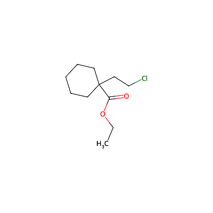 CCOC(=O)C1(CCCl)CCCCC1